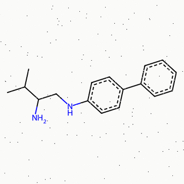 CC(C)C(N)CNc1ccc(-c2ccccc2)cc1